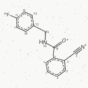 N#Cc1ccccc1C(=O)NCc1ccc(F)cc1